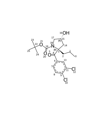 CCC[C@]1(C(=O)c2ccc(Cl)c(Cl)c2)C[C@@H](O)CN1C(=O)OC(C)(C)C